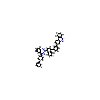 c1ccc(-c2ccc(-c3nc(-c4ccc(-c5cccc(-c6ccc7c(c6)ncc6ccccc67)c5)c5ccccc45)nc4ccccc34)cc2)cc1